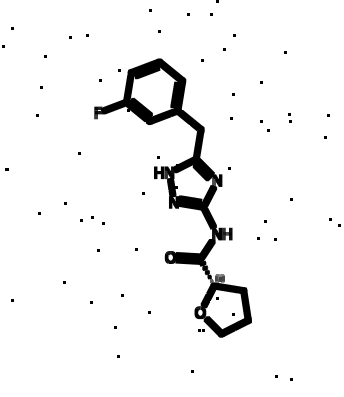 O=C(Nc1n[nH]c(Cc2cccc(F)c2)n1)[C@@H]1CCCO1